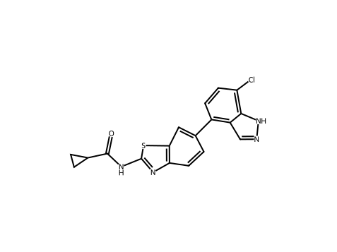 O=C(Nc1nc2ccc(-c3ccc(Cl)c4[nH]ncc34)cc2s1)C1CC1